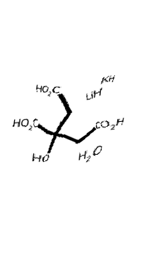 O.O=C(O)CC(O)(CC(=O)O)C(=O)O.[KH].[LiH]